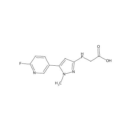 Cn1nc(PCC(=O)O)cc1-c1ccc(F)nc1